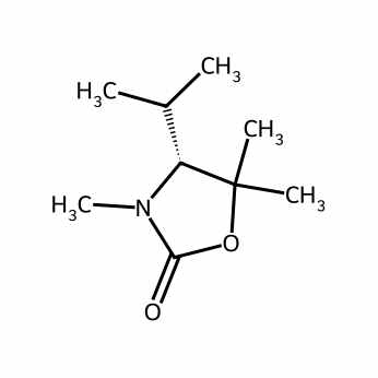 CC(C)[C@H]1N(C)C(=O)OC1(C)C